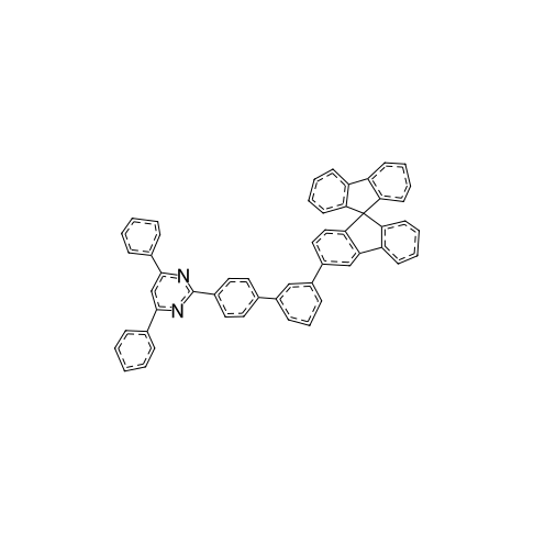 c1ccc(-c2cc(-c3ccccc3)nc(-c3ccc(-c4cccc(-c5ccc6c(c5)-c5ccccc5C65c6ccccc6-c6ccccc65)c4)cc3)n2)cc1